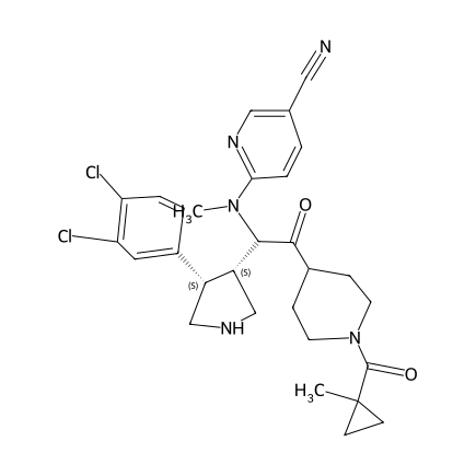 CN(c1ccc(C#N)cn1)C(C(=O)C1CCN(C(=O)C2(C)CC2)CC1)[C@@H]1CNC[C@@H]1c1ccc(Cl)c(Cl)c1